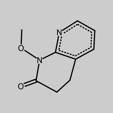 CON1C(=O)CCc2cccnc21